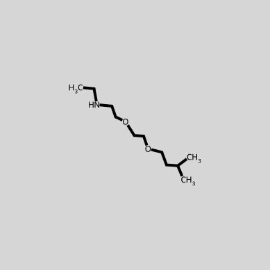 CCNCCOCCOCCC(C)C